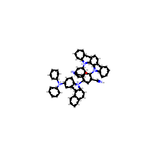 N#Cc1cc(-n2c3ccccc3c3ccc4c5ccccc5n(-c5ccccc5)c4c32)c(C#N)cc1-n1c2ccc(N(c3ccccc3)c3ccccc3)cc2c2c3ccccc3ccc21